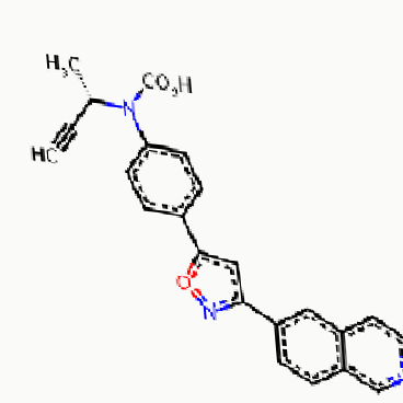 C#C[C@H](C)N(C(=O)O)c1ccc(-c2cc(-c3ccc4cnccc4c3)no2)cc1